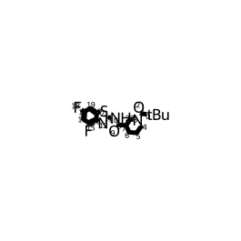 CC(C)(C)C(=O)N1CCCC(C(=O)Nc2nc3c(F)cc(F)cc3s2)C1